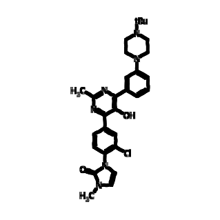 Cc1nc(-c2cccc(N3CCN(C(C)(C)C)CC3)c2)c(O)c(-c2ccc(-n3ccn(C)c3=O)c(Cl)c2)n1